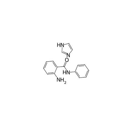 Nc1ccccc1C(=O)Nc1ccccc1.c1c[nH]cn1